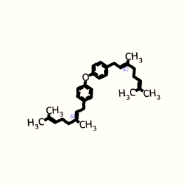 CC(C)=CCC/C(C)=C/Cc1ccc(Oc2ccc(C/C=C(\C)CCC=C(C)C)cc2)cc1